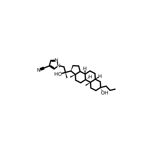 CCC[C@@]1(O)CC[C@@]2(C)[C@H](CC[C@H]3C4CC[C@H]([C@](C)(O)Cn5cc(C#N)cn5)[C@@]4(C)CC[C@@H]32)C1